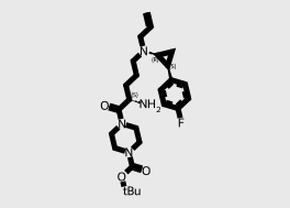 C=CCN(CCC[C@H](N)C(=O)N1CCN(C(=O)OC(C)(C)C)CC1)[C@@H]1C[C@H]1c1ccc(F)cc1